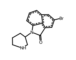 O=C1c2cc(Br)cc3cccc(c23)N1C1CCCNC1